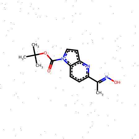 CC(=NO)c1ccc2c(ccn2C(=O)OC(C)(C)C)n1